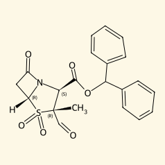 C[C@]1(C=O)[C@H](C(=O)OC(c2ccccc2)c2ccccc2)N2C(=O)C[C@H]2S1(=O)=O